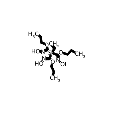 C=C[Si](C(=NO)OCCC)(C(=NO)OCCC)C(=NO)OCCC